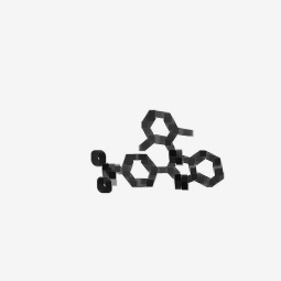 Cc1cccc(C)c1-n1c(-c2ccc([N+](=O)[O-])cc2)nc2ccccc21